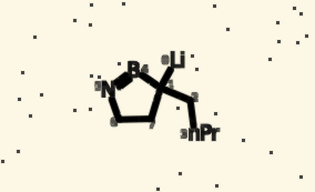 [Li][C]1(CCCC)B=NCC1